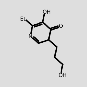 CCC1=C(O)C(=O)C(CCCO)C=N1